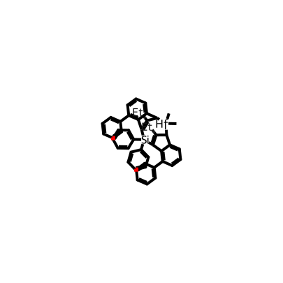 CCC1=C2c3c(-c4ccccc4)cccc3[CH]1[Hf]([CH3])([CH3])[CH]1C(CC)=C(c3c(-c4ccccc4)cccc31)[Si]2(c1ccccc1)c1ccccc1